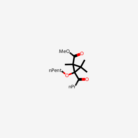 CCCCCOC1(C(=O)CCC)C(C)(C)C1(C)C(=O)OC